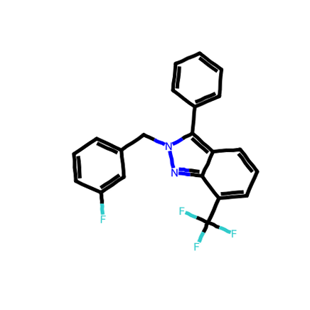 Fc1cccc(Cn2nc3c(C(F)(F)F)cccc3c2-c2ccccc2)c1